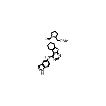 COCC1CCCN1C(=O)[C@H]1CCc2c(sc3ncnc(Nc4ccc5[nH]ncc5c4)c23)C1